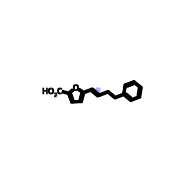 O=C(O)c1ccc(/C=C/CCc2ccccc2)o1